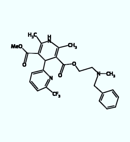 COC(=O)C1=C(C)NC(C)=C(C(=O)OCCN(C)Cc2ccccc2)C1c1cccc(C(F)(F)F)n1